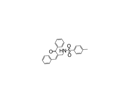 Cc1ccc(S(=O)(=O)NCC(=Cc2ccccc2)C(=O)c2ccccc2)cc1